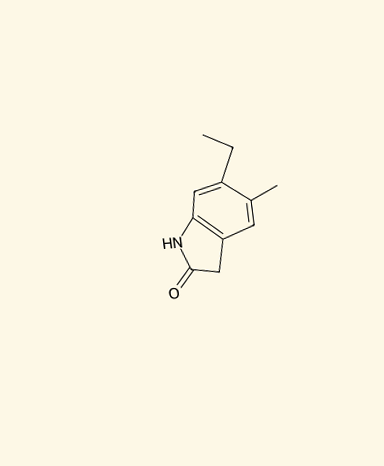 CCc1cc2c(cc1C)CC(=O)N2